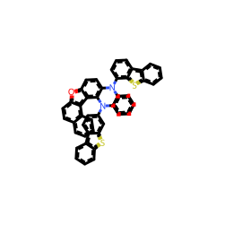 c1ccc(N(c2ccc3oc4ccc5ccccc5c4c3c2N(c2ccccc2)c2ccc3c(c2)sc2ccccc23)c2cccc3c2sc2ccccc23)cc1